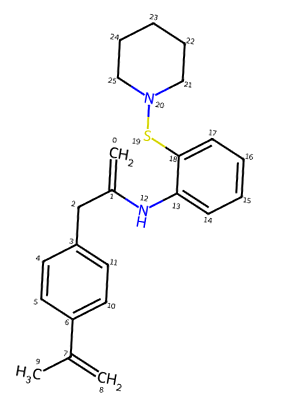 C=C(Cc1ccc(C(=C)C)cc1)Nc1ccccc1SN1CCCCC1